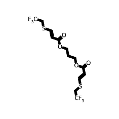 O=C(C=CSCC(F)(F)F)OCCCOC(=O)C=CSCC(F)(F)F